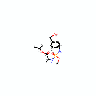 COP(=O)(Nc1ccc(CO)cc1)N[C@@H](C)C(=O)OC(C)C